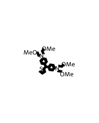 COCCN(CCOC)c1ccc(C(c2ccc(N(CCOC)CCOC)cc2)c2cccs2)cc1